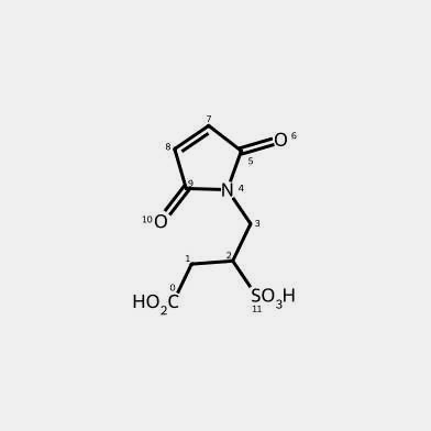 O=C(O)CC(CN1C(=O)C=CC1=O)S(=O)(=O)O